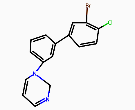 Clc1ccc(-c2cccc(N3C=CC=NC3)c2)cc1Br